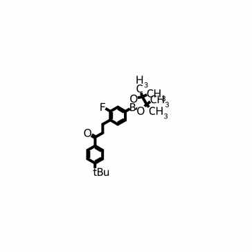 CC(C)(C)c1ccc(C(=O)CCc2ccc(B3OC(C)(C)C(C)(C)O3)cc2F)cc1